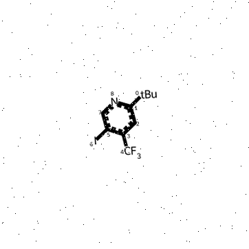 CC(C)(C)c1cc(C(F)(F)F)c(I)cn1